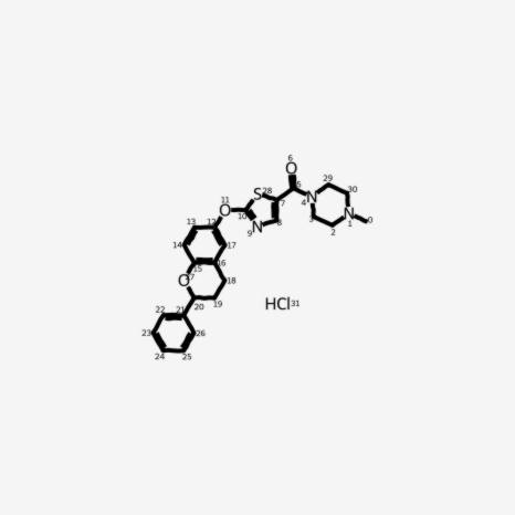 CN1CCN(C(=O)c2cnc(Oc3ccc4c(c3)CCC(c3ccccc3)O4)s2)CC1.Cl